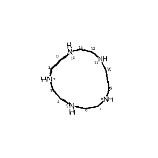 C1CNCCNCCNCCNCCN1